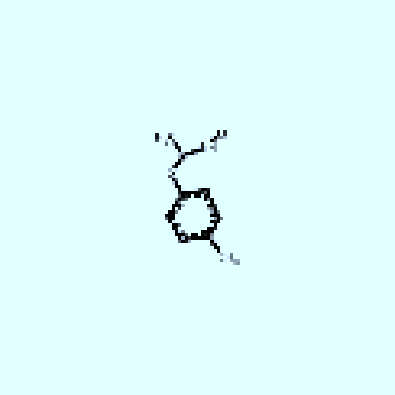 CCN[C@H](C)Oc1ccc(C)cc1